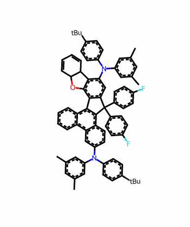 Cc1cc(C)cc(N(c2ccc(C(C)(C)C)cc2)c2ccc3c4c(c5ccccc5c3c2)-c2c(cc(N(c3ccc(C(C)(C)C)cc3)c3cc(C)cc(C)c3)c3c2OC2C=CC=CC32)C4(c2ccc(F)cc2)c2ccc(F)cc2)c1